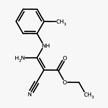 CCOC(=O)/C(C#N)=C(/N)Nc1ccccc1C